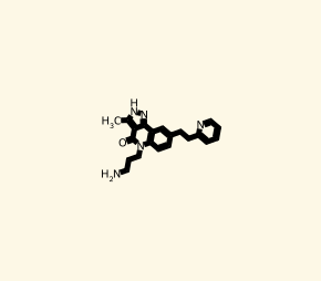 Cc1[nH]nc2c1c(=O)n(CCCN)c1ccc(CCc3ccccn3)cc21